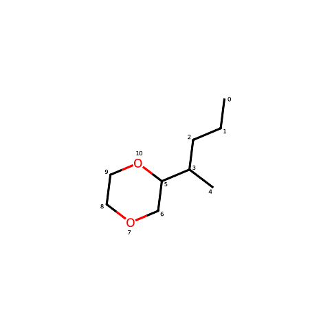 CCCC(C)C1COCCO1